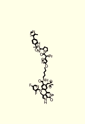 Cc1ncsc1-c1ccc([C@]2(C)NC(C3CCCN3C(=O)C(c3cc(OCCCCCNC(=O)c4cc5c(cc4CS(C)(=O)=O)-c4cn(C)c(=O)c6[nH]cc(c46)CN5c4ncc(F)cc4F)no3)C(C)C)=NO2)cc1